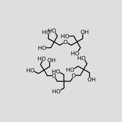 OCC(CO)(CO)COCC(CO)(CO)CO.OCC(CO)(CO)COCC(CO)(CO)COCC(CO)(CO)CO